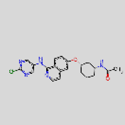 CC(=O)N[C@@H]1CCC[C@H](Oc2ccc3c(Nc4cnc(Cl)nc4)nccc3c2)C1